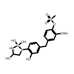 COc1cc(Cc2ccc(N3CC(O)NS3(O)O)c(O)c2)ccc1OS(C)(=O)=O